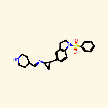 O=S(=O)(c1ccccc1)N1CCc2cc(C3CC3/N=C/C3CCNCC3)ccc21